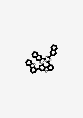 CC1CC(c2cccc3c2oc2ccccc23)=Cc2oc3cccc(-c4nc(-c5ccc6ccccc6c5)nc(-c5ccc6ccccc6c5)n4)c3c21